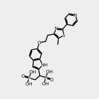 Cc1sc(-c2ccncc2)nc1CCOc1ccc2cc(C(CP(=O)(O)O)P(=O)(O)O)[nH]c2c1